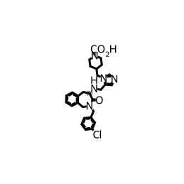 O=C(O)N1CCC(Cn2cncc2CN[C@H]2Cc3ccccc3CN(Cc3cccc(Cl)c3)C2=O)CC1